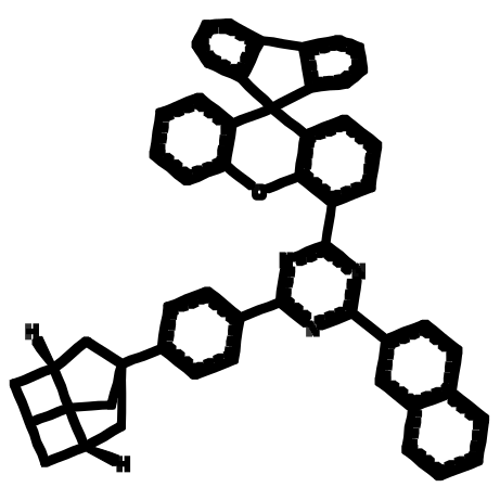 c1ccc2c(c1)Oc1c(-c3nc(-c4ccc(C56C[C@H]7CC8C[C@@H](C5)C87C6)cc4)nc(-c4ccc5ccccc5c4)n3)cccc1C21c2ccccc2-c2ccccc21